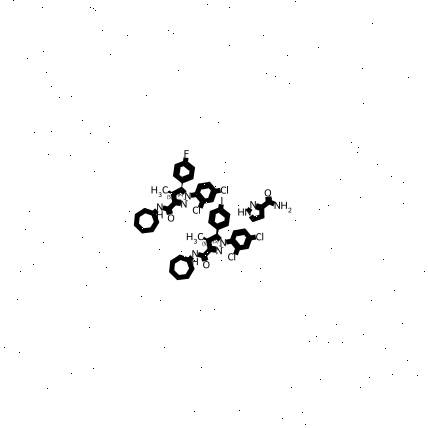 C[C@@H]1C(C(=O)NC2CCCCCC2)=NN(c2ccc(Cl)cc2Cl)[C@@H]1c1ccc(I)cc1.C[C@@H]1C(C(=O)NC2CCCCCC2)=NN(c2ccc(Cl)cc2Cl)[C@H]1c1ccc(F)cc1.NC(=O)C1=NNCC1